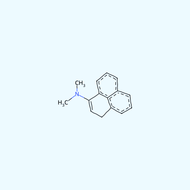 CN(C)C1=CCc2cccc3cccc1c23